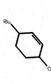 CCC(C)C1C=CC(OC(C)=O)CC1